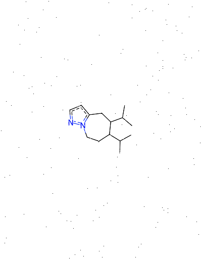 CC(C)C1CCn2nccc2CC1C(C)C